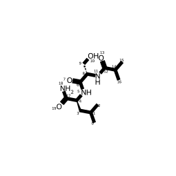 CC(C)C[C@H](NC(=O)[C@H](CO)NC(=O)C(C)C)C(N)=O